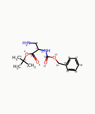 CC(C)(C)OC(=O)C(CN)NC(=O)OCc1ccccc1